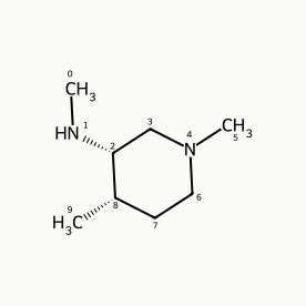 CN[C@@H]1CN(C)CC[C@@H]1C